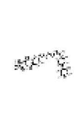 CC(=NOCCOc1ccc(CC2SC(=O)NC2=O)cc1)c1ccc(-c2ccncc2)cc1